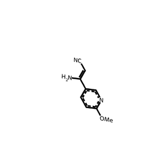 COc1ccc(C(N)=CC#N)cn1